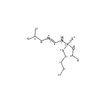 CCCCSP(=S)(N/C=N/CC(C)C)OCC